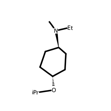 CCN(C)[C@H]1CC[C@H](OC(C)C)CC1